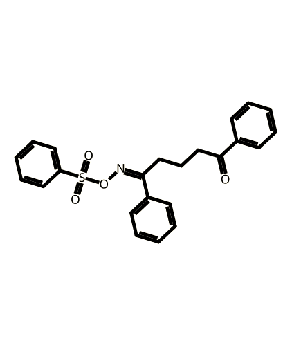 O=C(CCCC(=NOS(=O)(=O)c1ccccc1)c1ccccc1)c1ccccc1